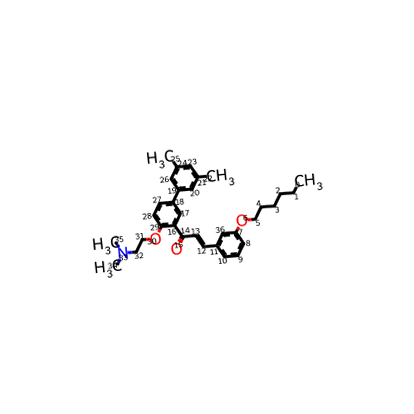 CCCCCCOc1cccc(C=CC(=O)c2cc(-c3cc(C)cc(C)c3)ccc2OCCN(C)C)c1